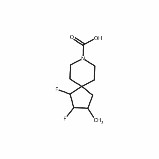 CC1CC2(CCN(C(=O)O)CC2)C(F)C1F